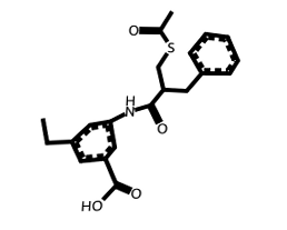 CCc1cc(NC(=O)C(CSC(C)=O)Cc2ccccc2)cc(C(=O)O)c1